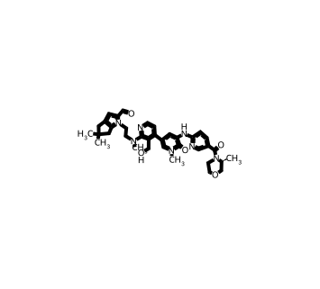 C[C@@H]1COCCN1C(=O)c1ccc(Nc2cc(-c3ccnc(N(C)CCn4c(C=O)cc5c4CC(C)(C)C5)c3CO)cn(C)c2=O)nc1